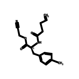 C=CCCC(=O)N[C@@H](Cc1ccc(C)cc1)C(=O)OCC#N